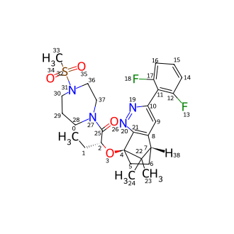 CC[C@@H](O[C@@]12CC[C@@H](c3cc(-c4c(F)cccc4F)nnc31)C2(C)C)C(=O)N1CCCN(S(C)(=O)=O)CC1